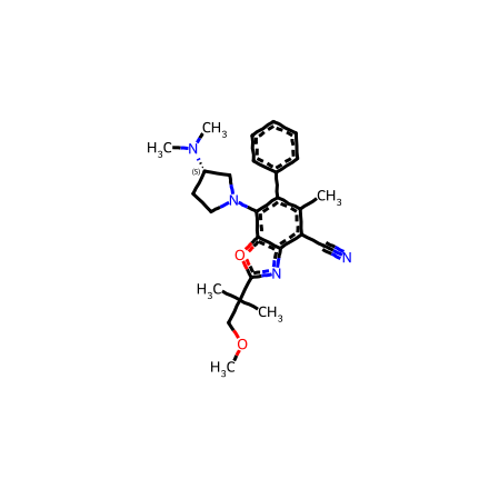 COCC(C)(C)c1nc2c(C#N)c(C)c(-c3ccccc3)c(N3CC[C@H](N(C)C)C3)c2o1